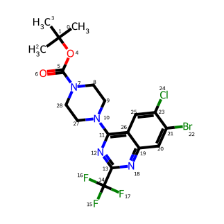 CC(C)(C)OC(=O)N1CCN(c2nc(C(F)(F)F)nc3cc(Br)c(Cl)cc23)CC1